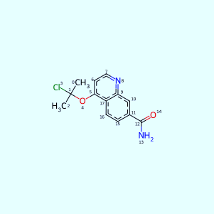 CC(C)(Cl)Oc1ccnc2cc(C(N)=O)ccc12